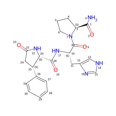 NC(=O)[C@@H]1CCCN1C(=O)[C@H](Cc1c[nH]cn1)NC(=O)[C@H]1NC(=O)C[C@H]1c1ccccc1